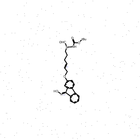 CC(C)(C)OC(=O)NN(C=O)CCC/C=C/COc1ccc2c(c1)/C(=N\O)c1ccccc1-2